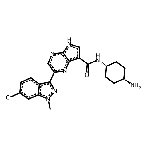 Cn1nc(-c2cnc3[nH]cc(C(=O)N[C@H]4CC[C@H](N)CC4)c3n2)c2ccc(Cl)cc21